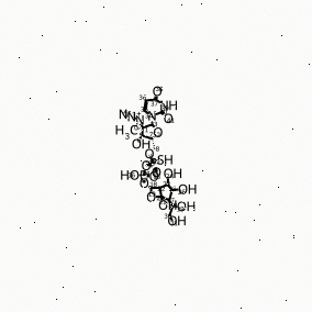 C[C@@]1(N=[N+]=[N-])[C@H](O)[C@@H](COP(=O)(S)OP(=O)(O)OC2OC3(O)C2C(O)C(O)C3[C@@H](O)CO)O[C@H]1n1ccc(=O)[nH]c1=O